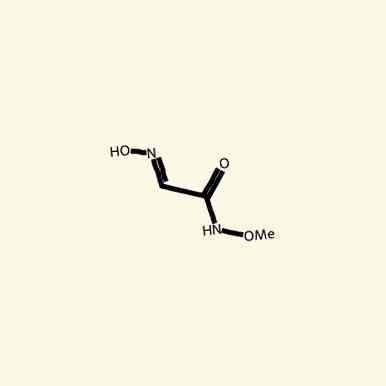 CONC(=O)/C=N/O